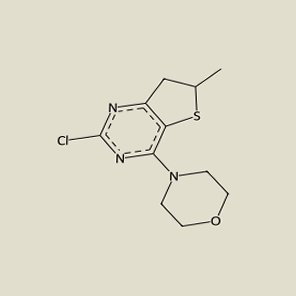 CC1Cc2nc(Cl)nc(N3CCOCC3)c2S1